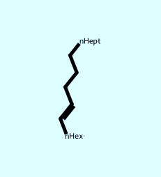 CCCCC[CH]C=CCCCCCCCCCC